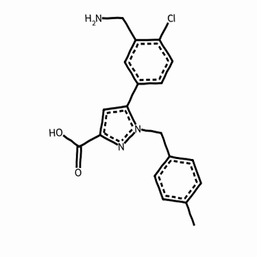 Cc1ccc(Cn2nc(C(=O)O)cc2-c2ccc(Cl)c(CN)c2)cc1